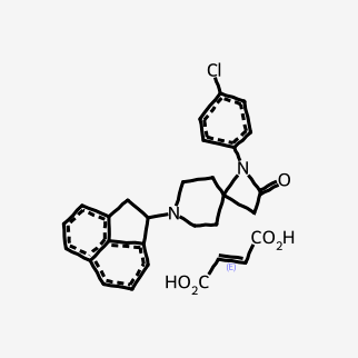 O=C(O)/C=C/C(=O)O.O=C1CC2(CCN(C3Cc4cccc5cccc3c45)CC2)N1c1ccc(Cl)cc1